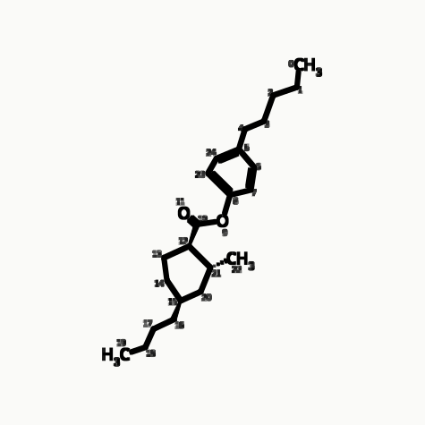 CCCCCc1ccc(OC(=O)[C@@H]2CC[C@H](CCCC)C[C@H]2C)cc1